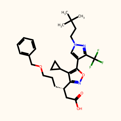 CC(C)(C)CCn1cc(-c2onc([C@@H](CCCOCc3ccccc3)CC(=O)O)c2C2CC2)c(C(F)(F)F)n1